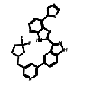 FC1(F)CCN(Cc2cncc(-c3ccc4[nH]nc(-c5nc6c(-c7cccs7)ccnc6[nH]5)c4c3)c2)C1